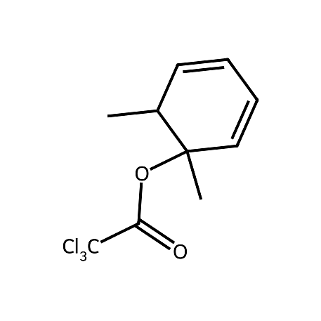 CC1C=CC=CC1(C)OC(=O)C(Cl)(Cl)Cl